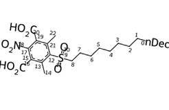 CCCCCCCCCCCCCCCCCCS(=O)(=O)c1c(C)c(C(=O)O)c([N+](=O)[O-])c(C(=O)O)c1C